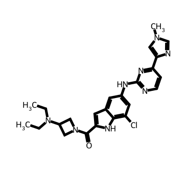 CCN(CC)C1CN(C(=O)c2cc3cc(Nc4nccc(-c5cn(C)cn5)n4)cc(Cl)c3[nH]2)C1